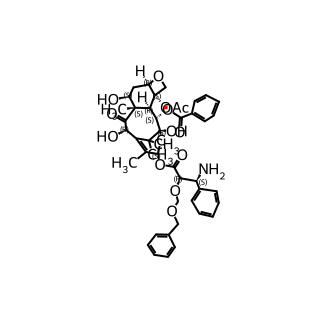 CC(=O)O[C@@]12CO[C@@H]1C[C@H](O)[C@@]1(C)C(=O)[C@H](O)C3=C(C)[C@@H](OC(=O)[C@H](OCOCc4ccccc4)[C@@H](N)c4ccccc4)C[C@@](O)([C@@H](OC(=O)c4ccccc4)[C@H]21)C3(C)C